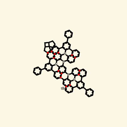 CC(C)(C)c1cc2c3c(c1)N(c1c(-c4ccccc4)cc(-c4ccccc4)cc1-c1ccccc1)c1ccccc1B3c1cc3c(cc1S2)N(c1c(-c2ccccc2)cc(-c2ccccc2)cc1-c1ccccc1)c1cc(N2C4CC5CC6CC2CC56C4)cc2c1B3c1ccccc1N2c1c(-c2ccccc2)cc(-c2ccccc2)cc1-c1ccccc1